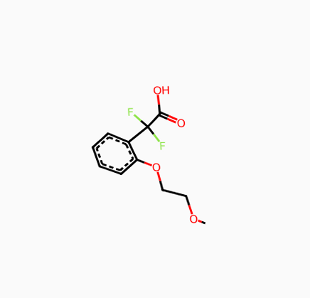 COCCOc1ccccc1C(F)(F)C(=O)O